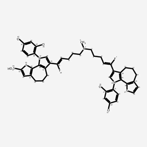 CN(CCC/C=C(\F)c1cn(-c2ccc(Cl)cc2Cl)c2c1CCCc1ccsc1-2)CCC/C=C(\F)c1cn(-c2ccc(Cl)cc2Cl)c2c1CCCc1cc(S(=O)(=O)O)sc1-2